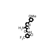 COc1cccc(-c2ccc3c(N)c(C(=O)Nc4cc(C(F)(F)F)ccc4Cl)sc3n2)c1